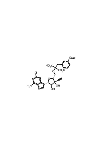 C#C[C@@]1(O)[C@@H](COC(Cc2cccc(OC)c2)(C(=O)O)C(=O)O)O[C@@H](n2cnc3c(N)nc(Cl)nc32)[C@@H]1O